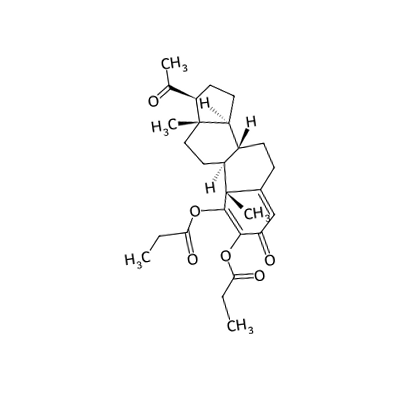 CCC(=O)OC1=C(OC(=O)CC)[C@@]2(C)C(=CC1=O)CC[C@@H]1[C@@H]2CC[C@]2(C)[C@@H](C(C)=O)CC[C@@H]12